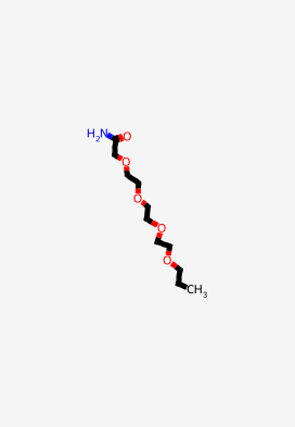 CCCOCCOCCOCCOCC(N)=O